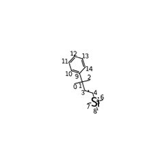 CC(C)([CH]C[Si](C)(C)C)c1ccccc1